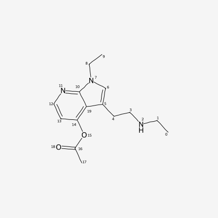 CCNCCc1cn(CC)c2nccc(OC(C)=O)c12